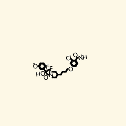 CNC(=O)c1ccc(OCCCCC2CCN(C(=O)C(O)(c3cccc(OC)c3)C(F)(F)F)CC2)cc1Cl